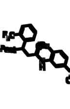 CCCCCC(CC(=O)Nc1cc(CO)ccc1C(C)(C)C)c1ccccc1C(F)(F)F